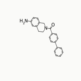 Nc1ccc2c(c1)CCN(C(=O)c1ccc(-c3ccccc3)cc1)C2